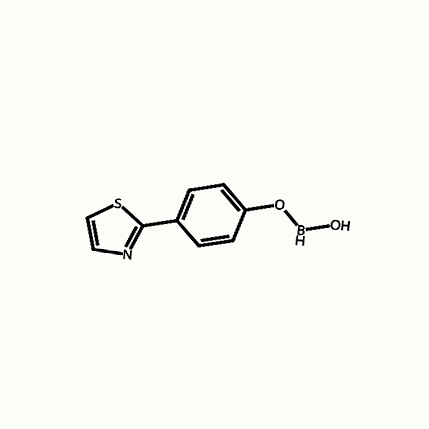 OBOc1ccc(-c2nccs2)cc1